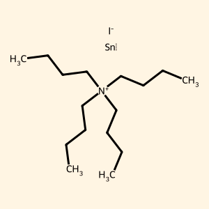 CCCC[N+](CCCC)(CCCC)CCCC.[I-].[Sn]